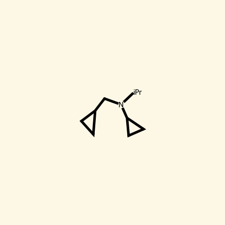 CC(C)N(CC1CC1)C1CC1